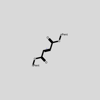 CCCCCOC(=O)/C=C/C(=O)OCCCCC